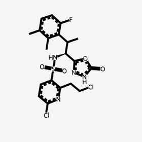 Cc1ccc(F)c(C(C)[C@H](NS(=O)(=O)c2ccc(Cl)nc2CCCl)c2n[nH]c(=O)o2)c1C